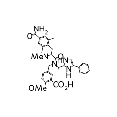 CNC(Cc1c(C)cc(C(N)=O)cc1C)C(=O)N(Cc1ccc(OC)c(C(=O)O)c1)C(C)C1NC=C(c2ccccc2)N1